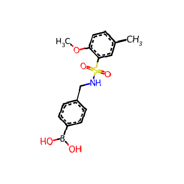 COc1ccc(C)cc1S(=O)(=O)NCc1ccc(B(O)O)cc1